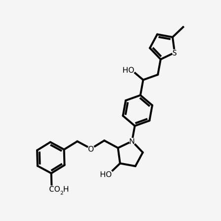 Cc1ccc(CC(O)c2ccc(N3CCC(O)C3COCc3cccc(C(=O)O)c3)cc2)s1